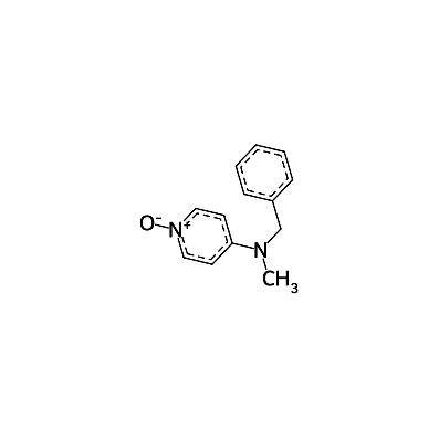 CN(Cc1ccccc1)c1cc[n+]([O-])cc1